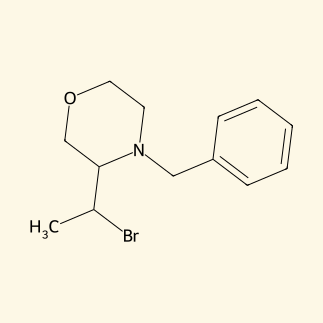 CC(Br)C1COCCN1Cc1ccccc1